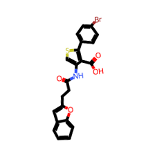 O=C(CCc1cc2ccccc2o1)Nc1csc(-c2ccc(Br)cc2)c1C(=O)O